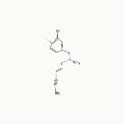 CN(CC=CC#CC(C)(C)C)Cc1ccc(F)c(Br)c1